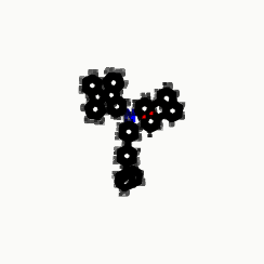 c1ccc(-c2cccc3cccc(-c4ccc(N(c5ccc(-c6ccc(C78CC9CC(CC(C9)C7)C8)cc6)cc5)c5ccc6c(c5)-c5ccccc5C65c6ccccc6-c6ccccc65)cc4)c23)cc1